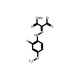 CCC(=O)C(=NNc1ccc(OC(F)(F)F)cc1F)C(=O)OC